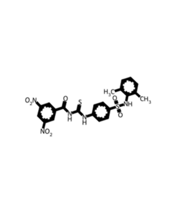 Cc1cccc(C)c1NS(=O)(=O)c1ccc(NC(=S)NC(=O)c2cc([N+](=O)[O-])cc([N+](=O)[O-])c2)cc1